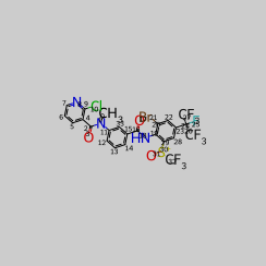 CN(C(=O)c1cccnc1Cl)c1cccc(C(=O)Nc2c(Br)cc(C(F)(C(F)(F)F)C(F)(F)F)cc2[S+]([O-])C(F)(F)F)c1